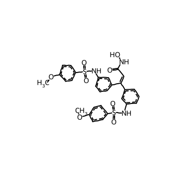 COc1ccc(S(=O)(=O)Nc2cccc(C(=CC(=O)NO)c3cccc(NS(=O)(=O)c4ccc(OC)cc4)c3)c2)cc1